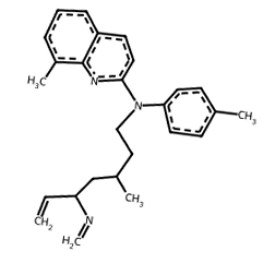 C=CC(CC(C)CCN(c1ccc(C)cc1)c1ccc2cccc(C)c2n1)N=C